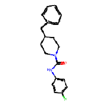 O=C(Nc1ccc(Cl)cc1)N1CCC(Cc2ccccc2)CC1